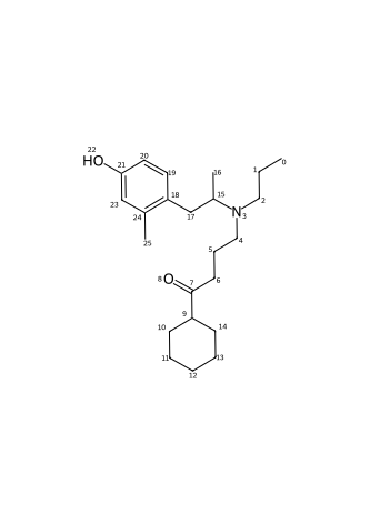 CCCN(CCCC(=O)C1CCCCC1)C(C)Cc1ccc(O)cc1C